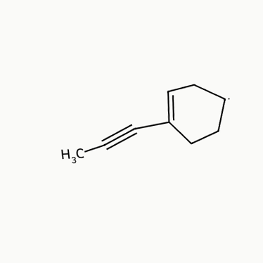 CC#CC1=CC[CH]CC1